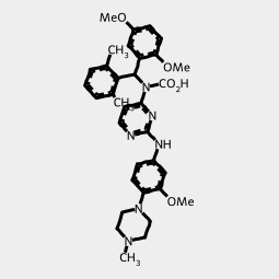 COc1ccc(OC)c(C(c2c(C)cccc2C)N(C(=O)O)c2ccnc(Nc3ccc(N4CCN(C)CC4)c(OC)c3)n2)c1